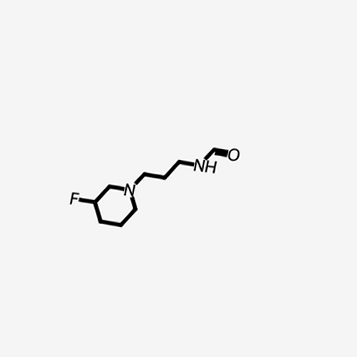 O=CNCCCN1CCCC(F)C1